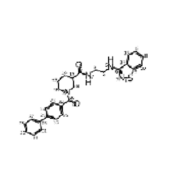 O=C(NCCNc1nsc2ccccc12)C1CCCN(C(=O)c2ccc(-c3ccccc3)cc2)C1